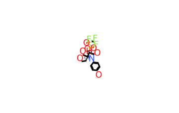 CC[C@@]1(C(=O)O)[C@H](OS(=O)(=O)C(F)(F)F)C(=O)N1c1ccc(OC)cc1